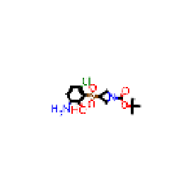 CC(C)(C)OC(=O)N1CC(S(=O)(=O)c2c(Cl)ccc(N)c2O)C1